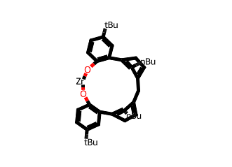 CCCCC1=C2CC=C1CC1=CCC(=C1CCCC)c1cc(C(C)(C)C)ccc1[O][Zr][O]c1ccc(C(C)(C)C)cc12